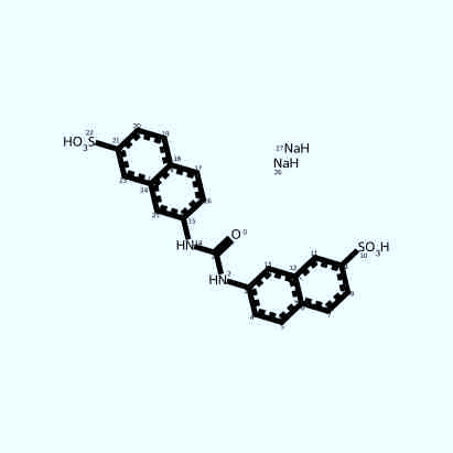 O=C(Nc1ccc2ccc(S(=O)(=O)O)cc2c1)Nc1ccc2ccc(S(=O)(=O)O)cc2c1.[NaH].[NaH]